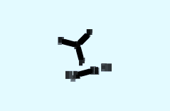 CCN.F.FB(F)F